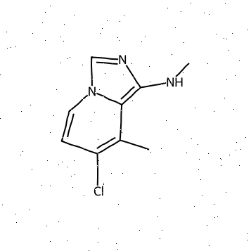 CNc1ncn2ccc(Cl)c(C)c12